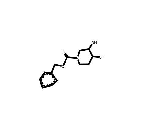 O=C(OCc1ccccc1)N1CCC(O)C(O)C1